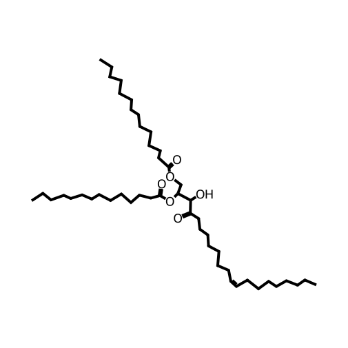 CCCCCCCC/C=C\CCCCCCCC(=O)C(O)C(COC(=O)CCCCCCCCCCCCC)OC(=O)CCCCCCCCCCCCC